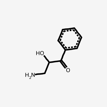 NCC(O)C(=O)c1ccccc1